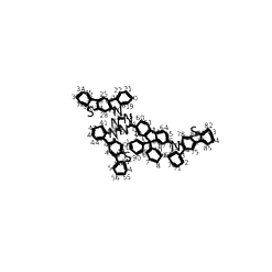 c1ccc(C2(c3ccccc3)c3cc(-c4nc(-n5c6ccccc6c6cc7c(cc65)sc5ccccc57)nc(-n5c6ccccc6c6cc7c(cc65)sc5ccccc57)n4)ccc3-c3ccc(-n4c5ccccc5c5cc6c(cc54)sc4ccccc46)cc32)cc1